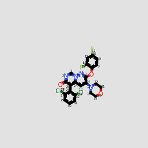 O=c1ncn2nc(Oc3ccc(F)cc3F)c(N3CCOCC3)cc2c1-c1c(Cl)cccc1Cl